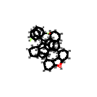 Fc1cccc(F)c1-c1c2ccccc2c(-c2cccc3oc4cccc(-c5c6c(c(-c7ccccc7)c7ccccc57)CCC=C6)c4c23)c2ccccc12